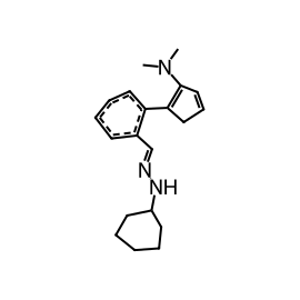 CN(C)C1=C(c2ccccc2C=NNC2CCCCC2)CC=C1